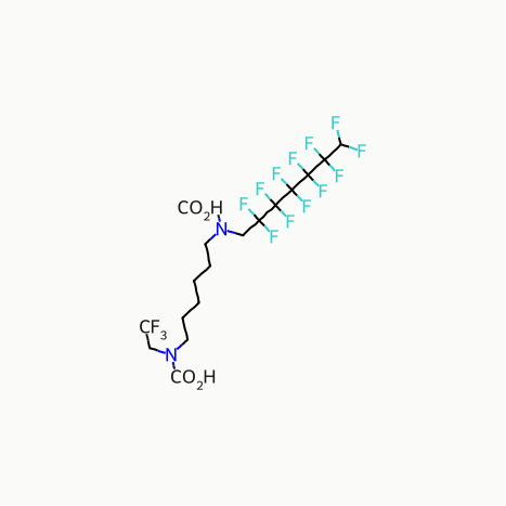 O=C(O)N(CCCCCCN(CC(F)(F)C(F)(F)C(F)(F)C(F)(F)C(F)(F)C(F)F)C(=O)O)CC(F)(F)F